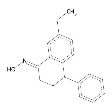 CCc1ccc2c(c1)C(=NO)CCC2c1ccccc1